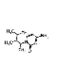 CC(C)C(C)C(C)n1ccc(N)nc1=O